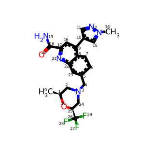 C[C@H]1CN(Cc2ccc3c(-c4cnn(C)c4)cc(C(N)=O)nc3c2)C[C@@H](C(F)(F)F)O1